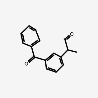 CC([C]=O)c1cccc(C(=O)c2ccccc2)c1